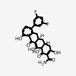 NC(=O)C1=C(O)C[C@@H]2C[C@@H]3Cc4c(-c5cc(F)cc(F)c5)ccc(O)c4C(=O)C3=C(O)[C@]2(O)C1=O